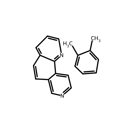 Cc1ccccc1C.c1cnc2c(c1)ccc1cnccc12